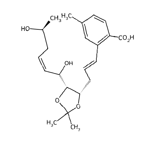 Cc1ccc(C(=O)O)c(/C=C/C[C@@H]2OC(C)(C)O[C@@H]2C(O)/C=C\C[C@H](C)O)c1